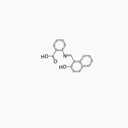 O=C(O)c1ccccc1N=Cc1c(O)ccc2ccccc12